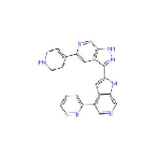 C1=C(c2cc3c(-c4cc5c(-c6ccccn6)cncc5[nH]4)n[nH]c3cn2)CCNC1